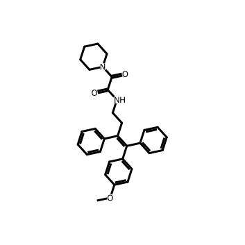 COc1ccc(C(=C(CCNC(=O)C(=O)N2CCCCC2)c2ccccc2)c2ccccc2)cc1